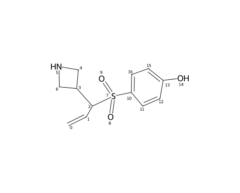 C=CC(C1CNC1)S(=O)(=O)c1ccc(O)cc1